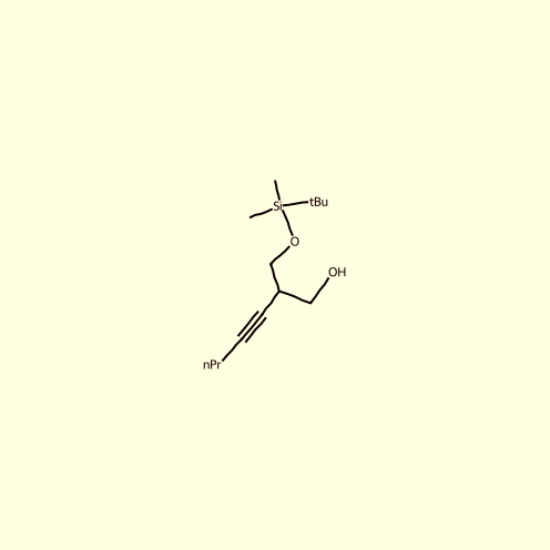 CCCC#CC(CO)CO[Si](C)(C)C(C)(C)C